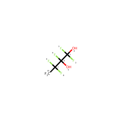 OC(F)(F)C(O)(F)C(F)(F)C(F)(F)F